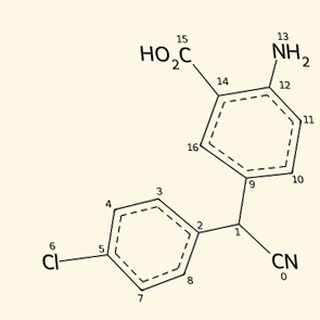 N#CC(c1ccc(Cl)cc1)c1ccc(N)c(C(=O)O)c1